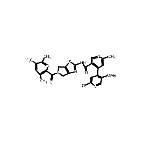 COc1cnc(Cl)cc1-c1cc(C)ncc1C(=O)Nc1nc2c(s1)CN(C(=O)c1nc(C)c(C(F)(F)F)cc1C)C2